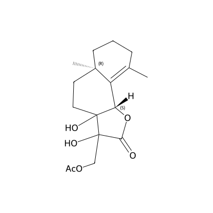 CC(=O)OCC1(O)C(=O)O[C@H]2C3=C(C)CCC[C@]3(C)CCC21O